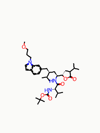 COCCCn1ccc2ccc(C[C@@H](C[C@H](NC(=O)[C@@H](NC(=O)OC(C)(C)C)C(C)C)[C@@H]3CC(C(C)C)C(=O)O3)C(C)C)cc21